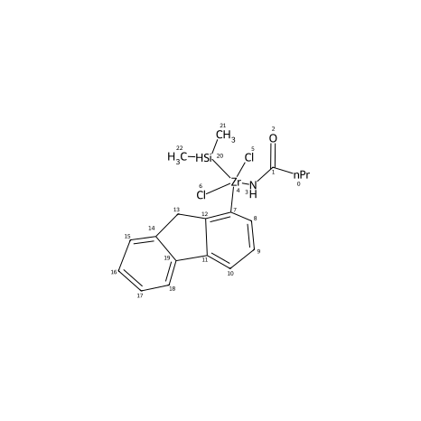 CCCC(=O)[NH][Zr]([Cl])([Cl])([c]1cccc2c1Cc1ccccc1-2)[SiH](C)C